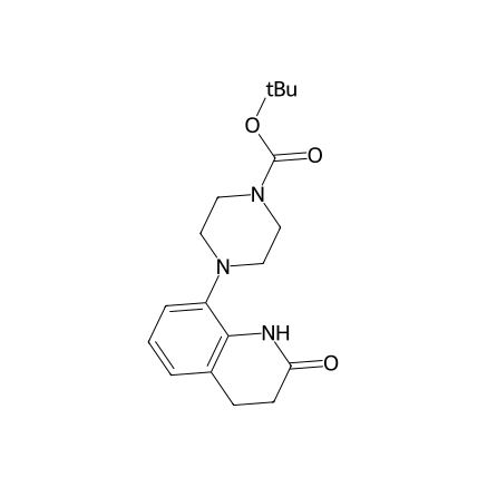 CC(C)(C)OC(=O)N1CCN(c2cccc3c2NC(=O)CC3)CC1